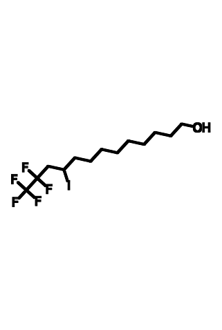 OCCCCCCCCCC(I)CC(F)(F)C(F)(F)F